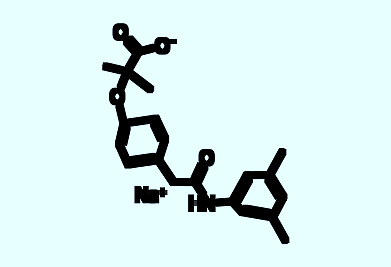 Cc1cc(C)cc(NC(=O)Cc2ccc(OC(C)(C)C(=O)[O-])cc2)c1.[Na+]